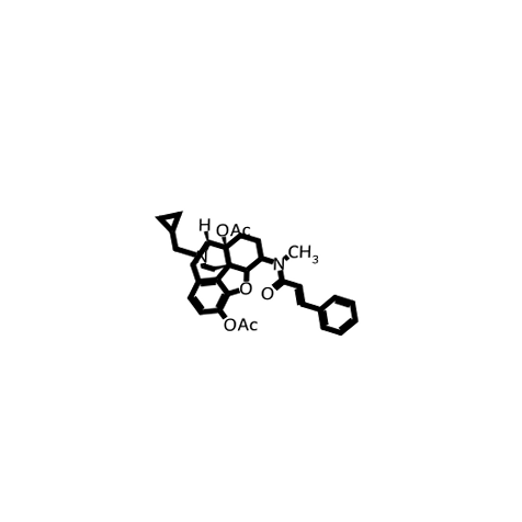 CC(=O)Oc1ccc2c3c1OC1C(N(C)C(=O)/C=C/c4ccccc4)CC[C@@]4(OC(C)=O)[C@@H](C2)N(CC2CC2)CC[C@]314